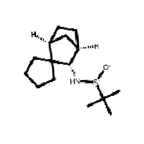 CC(C)(C)[S+]([O-])N[C@H]1[C@@H]2CC[C@@H](C2)C12CCCC2